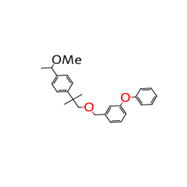 COC(C)c1ccc(C(C)(C)COCc2cccc(Oc3ccccc3)c2)cc1